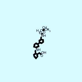 CC(C)(C)OC(=O)NCc1cccc(-c2cccc(NCc3ccccc3CC(=O)O)c2)c1